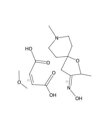 CC1OC2(CCN(C)CC2)C/C1=N/O.COC.O=C(O)/C=C\C(=O)O